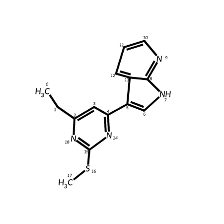 CCc1cc(-c2c[nH]c3ncccc23)nc(SC)n1